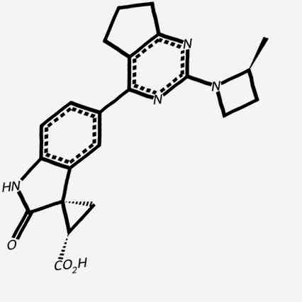 C[C@H]1CCN1c1nc2c(c(-c3ccc4c(c3)[C@]3(C[C@@H]3C(=O)O)C(=O)N4)n1)CCC2